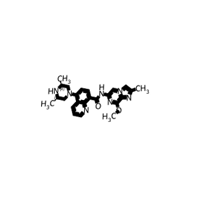 COc1nc(NC(=O)c2ccc(N3C[C@@H](C)N[C@@H](C)C3)c3cccnc23)cn2cc(C)nc12